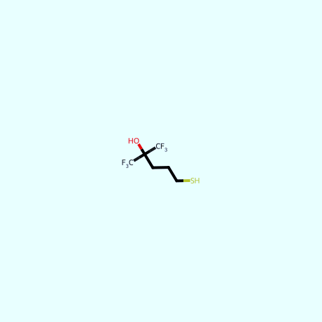 OC(CCCS)(C(F)(F)F)C(F)(F)F